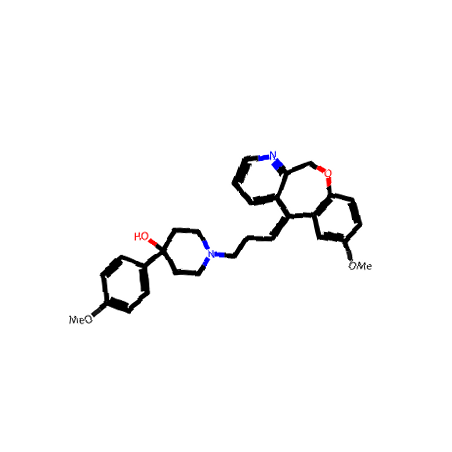 COc1ccc(C2(O)CCN(CC/C=C3/c4cc(OC)ccc4OCc4ncccc43)CC2)cc1